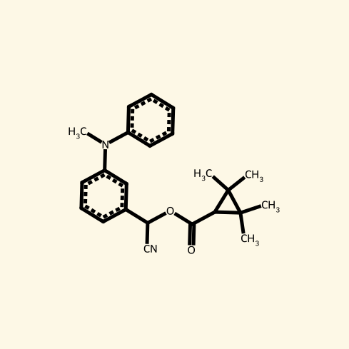 CN(c1ccccc1)c1cccc(C(C#N)OC(=O)C2C(C)(C)C2(C)C)c1